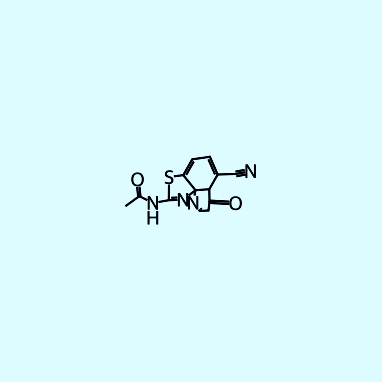 CC(=O)NC1=NC23N=CCC(=O)C2C(C#N)=CC=C3S1